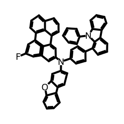 Fc1cccc(-c2cccc3cccc(-c4cccc(N(c5ccc(-c6cccc7c8ccccc8n(-c8ccccc8)c67)cc5)c5ccc6c(c5)oc5ccccc56)c4)c23)c1